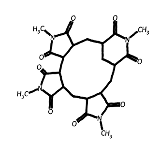 CN1C(=O)C2CC(CC3C(=O)N(C)C(=O)C3C3C(=O)N(C)C(=O)C3CC3C(=O)N(C)C(=O)C3C2)C1=O